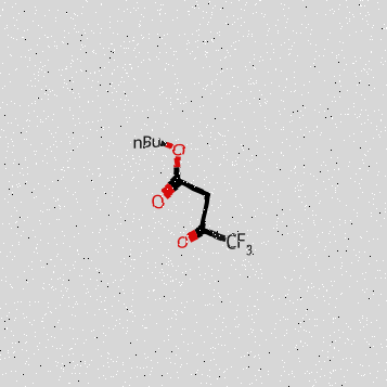 CCCCOC(=O)CC(=O)C(F)(F)F